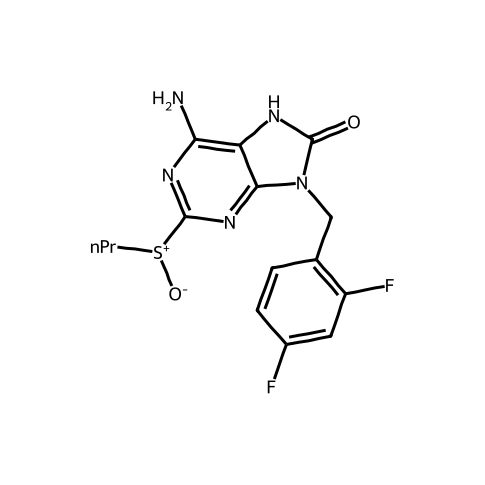 CCC[S+]([O-])c1nc(N)c2[nH]c(=O)n(Cc3ccc(F)cc3F)c2n1